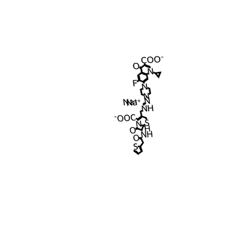 O=C(Cc1cccs1)N[C@@H]1C(=O)N2C(C(=O)[O-])=C(CNC=NN3CCN(c4cc5c(cc4F)c(=O)c(C(=O)[O-])cn5C4CC4)CC3)CS[C@H]12.[Na+].[Na+]